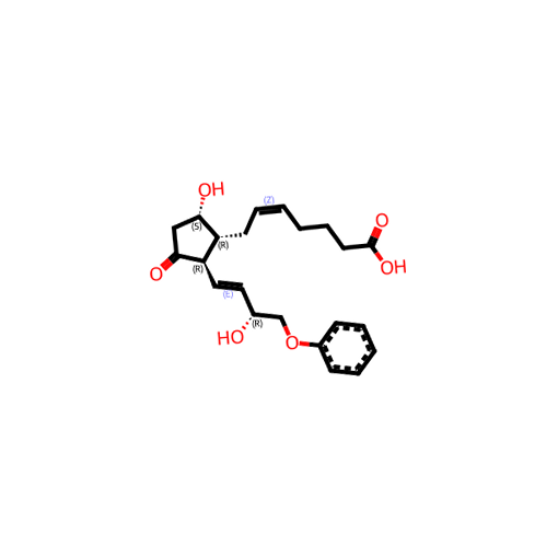 O=C(O)CCC/C=C\C[C@H]1[C@@H](O)CC(=O)[C@@H]1/C=C/[C@@H](O)COc1ccccc1